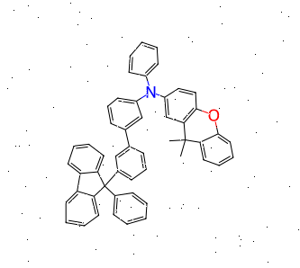 CC1(C)c2ccccc2Oc2ccc(N(c3ccccc3)c3cccc(-c4cccc(C5(c6ccccc6)c6ccccc6-c6ccccc65)c4)c3)cc21